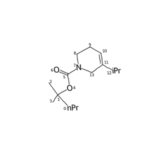 CCCC(C)(C)OC(=O)N1CCC=C(C(C)C)C1